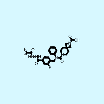 O=C(NNC(=O)C(F)F)c1ccc(CN(C(=O)N2CCC3(CC2)CN(C(=O)O)C3)c2ccccc2)c(F)c1